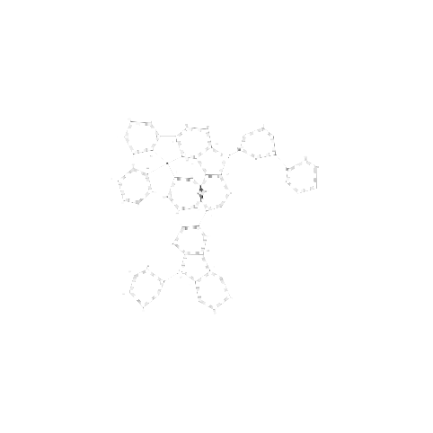 c1ccc(-c2cccc(-n3c4ccc(-c5ccc6c(c5)c5ccccc5n6-c5ccccc5)cc4c4c5c(ccc43)-c3ccccc3C5(c3ccccc3)c3ccccc3)c2)cc1